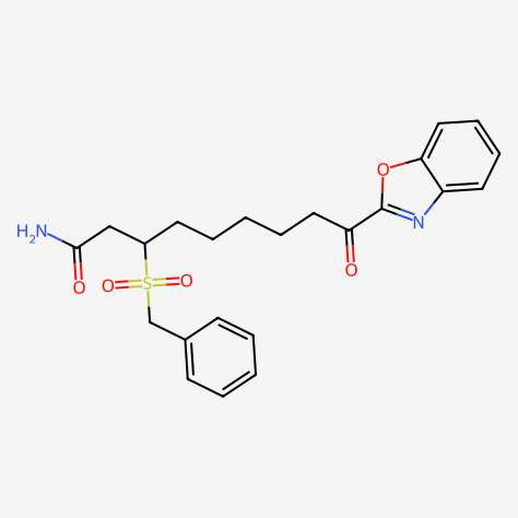 NC(=O)CC(CCCCCC(=O)c1nc2ccccc2o1)S(=O)(=O)Cc1ccccc1